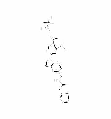 CC(C)Nc1cc(-n2ccc3cc(CNC(=O)Cc4ccccc4)cnc32)ncc1C(=O)NCC(F)C(C)(C)O